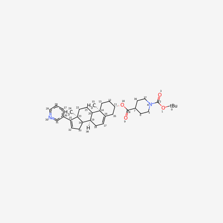 CC(C)(C)OC(=O)N1CCC(C(=O)O[C@H]2CC[C@@]3(C)C(=CC[C@@H]4C3CC[C@]3(C)C(c5cccnc5)=CCC43)C2)CC1